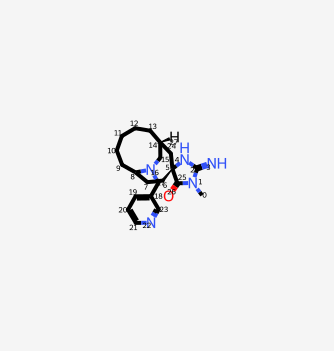 CN1C(=N)N[C@]2(CCC3CCCCC[C@@H](CN3Cc3cccnc3)C2)C1=O